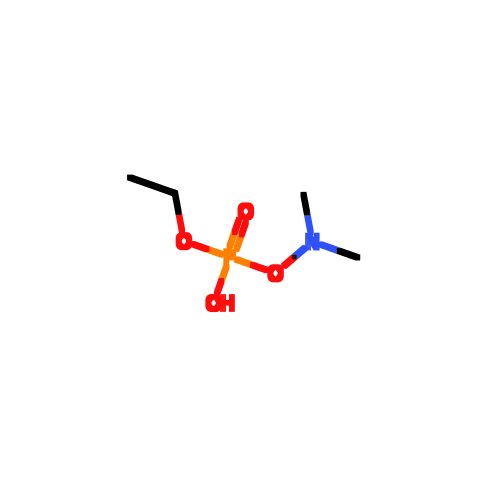 CCOP(=O)(O)ON(C)C